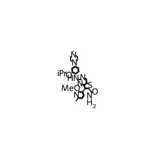 COc1nc(C)ccc1-c1c(C(N)=O)sc2cnc(Nc3ccc(N4CCN(C)CC4)cc3OC(C)C)nc12